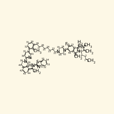 C=CCCC(C(=C)NC)n1c(=C)c2cc(F)c(N3CCN(CCCCCCCCc4cccc(-c5ccc(N6CCc7cccc(C(=C)Nc8nc9ccccc9s8)c7C6)nc5)c4C)CC3)cc2c1=C